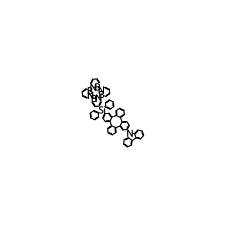 C1=CB2N(C=C1)B1C=CC=CN1B1C=CC([Si](c3ccccc3)(c3ccccc3)c3ccc4c(c3)-c3ccccc3-c3ccc(-n5c6ccccc6c6ccccc65)cc3-c3ccccc3-4)=CN1B1C=CC=CN21